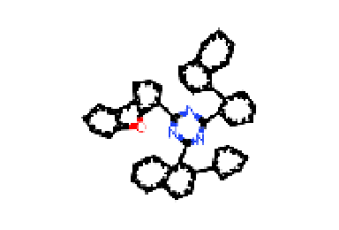 c1ccc(-c2ccc3ccccc3c2-c2nc(-c3ccccc3-c3cccc4ccccc34)nc(-c3cccc4c3oc3ccccc34)n2)cc1